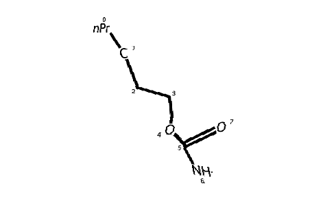 CCCCCCOC([NH])=O